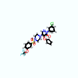 O=c1c(OC2CCCC2)c(N2CCN(S(=O)(=O)c3cccc(OC(F)(F)F)c3)CC2)cnn1-c1cccc(Cl)c1